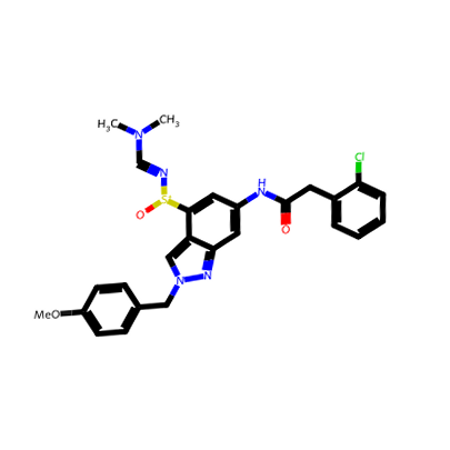 COc1ccc(Cn2cc3c([S+]([O-])/N=C/N(C)C)cc(NC(=O)Cc4ccccc4Cl)cc3n2)cc1